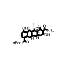 CCCCCC(=O)c1ccc(O)c2c1C[C@H]1C[C@H]3CC(O)=C(C(N)=O)C(=O)[C@@]3(O)C(O)=C1C2=O